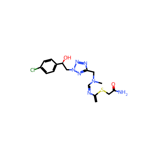 C=C(/N=C\N(C)Cc1nnn(C[C@H](O)c2ccc(Cl)cc2)n1)SCC(N)=O